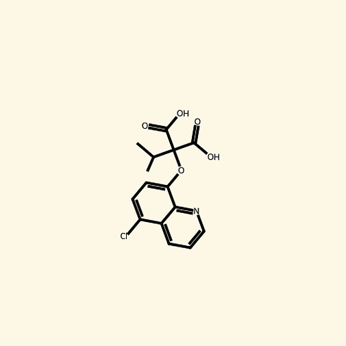 CC(C)C(Oc1ccc(Cl)c2cccnc12)(C(=O)O)C(=O)O